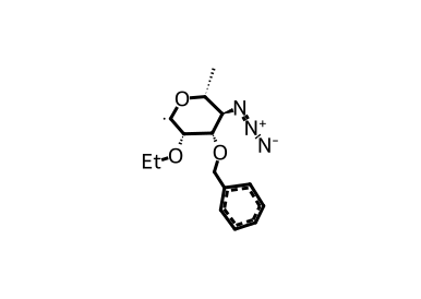 CCO[C@@H]1[CH]O[C@H](C)[C@@H](N=[N+]=[N-])[C@@H]1OCc1ccccc1